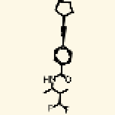 CC(NC(=O)c1ccc(C#CC2CCCC2)cc1)C(C)C(F)F